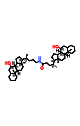 C[C@H](CCC(=O)NCCC[C@H](C)[C@@H]1CCC2[C@H]3[C@H](O)CC4CCCC[C@@]4(C)[C@H]3CC[C@]21C)[C@H]1CCC2[C@H]3[C@@H](CC[C@@]21C)[C@@]1(C)CCCCC1C[C@@H]3O